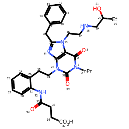 CCCn1c(=O)c2c(nc(Cc3ccccc3)n2CCNCC(O)CC)n(CCc2ccccc2NC(=O)CCC(=O)O)c1=O